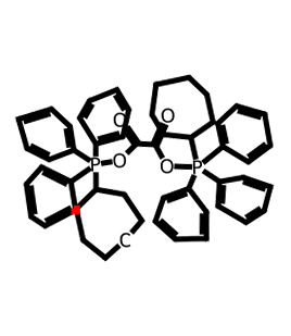 O=C(OP(c1ccccc1)(c1ccccc1)(c1ccccc1)C1CCCCCC1)C(=O)OP(c1ccccc1)(c1ccccc1)(c1ccccc1)C1CCCCCC1